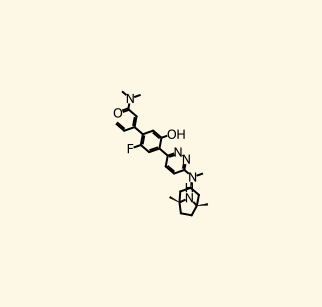 C=C/C(=C\C(=O)N(C)C)c1cc(O)c(-c2ccc(N(C)[C@H]3C[C@]4(C)CC[C@](C)(C3)N4)nn2)cc1F